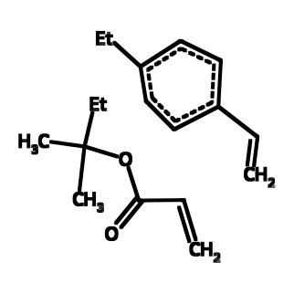 C=CC(=O)OC(C)(C)CC.C=Cc1ccc(CC)cc1